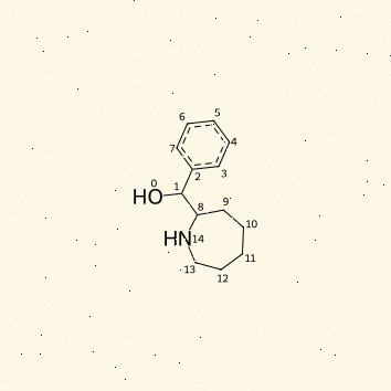 OC(c1ccccc1)C1CCCCCN1